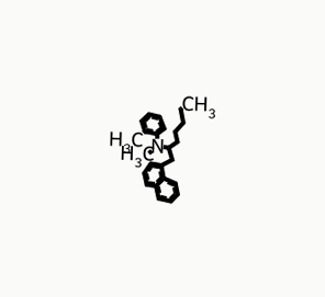 CCCCCC(Cc1cccc2ccccc12)N(C)c1ccccc1C